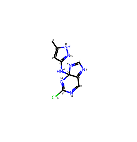 Cc1cc(NC23N=CN=C2C=NC(Cl)=N3)n[nH]1